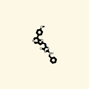 COc1ccc(-c2cncc3cc(/C=C4/SC(NCc5ccccc5)=NC4=O)oc23)cc1